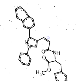 COC(=O)C(Cc1ccccc1)NC(=O)/C=C\c1cn(-c2ccccc2)nc1-c1ccc2ccccc2c1